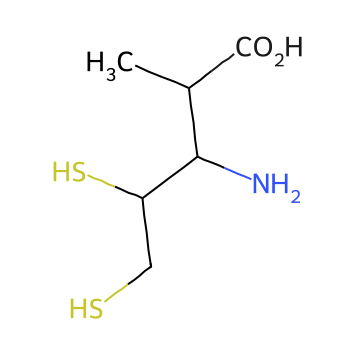 CC(C(=O)O)C(N)C(S)CS